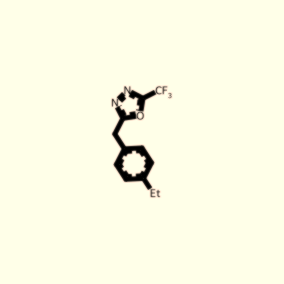 CCc1ccc(Cc2nnc(C(F)(F)F)o2)cc1